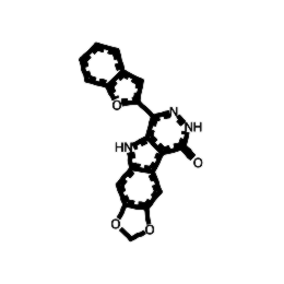 O=c1[nH]nc(-c2cc3ccccc3o2)c2[nH]c3cc4c(cc3c12)OCO4